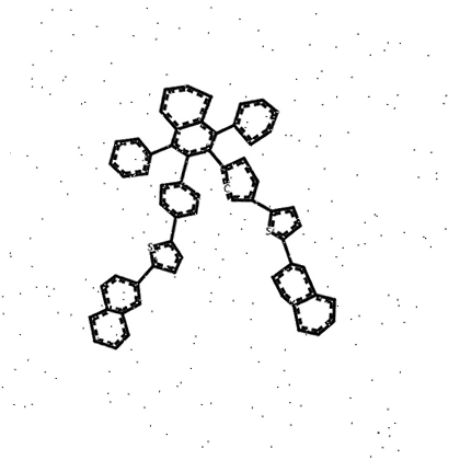 c1ccc(-c2c(-c3ccc(-c4ccc(-c5ccc6ccccc6c5)s4)cc3)c(-c3ccc(-c4ccc(-c5ccc6ccccc6c5)s4)cc3)c(-c3ccccc3)c3ccccc23)cc1